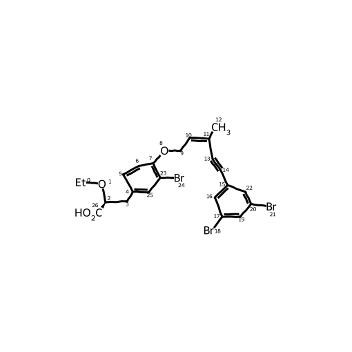 CCO[C@@H](Cc1ccc(OCC=C(C)C#Cc2cc(Br)cc(Br)c2)c(Br)c1)C(=O)O